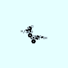 C=C1N(C[C@H]2CC[C@H](NC(=O)c3cc(Cl)cnc3[C@@H](F)CC)CC2)c2ccccc2N1c1cnc(OCCO)cn1